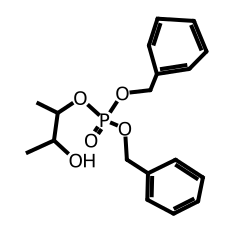 CC(O)C(C)OP(=O)(OCc1ccccc1)OCc1ccccc1